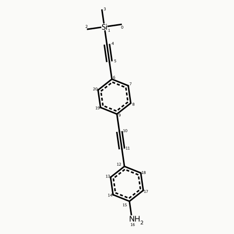 C[Si](C)(C)C#Cc1ccc(C#Cc2ccc(N)cc2)cc1